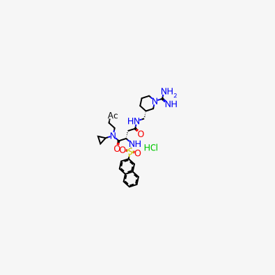 CC(=O)CCN(C(=O)[C@H](CC(=O)NC[C@@H]1CCCN(C(=N)N)C1)NS(=O)(=O)c1ccc2ccccc2c1)C1CC1.Cl